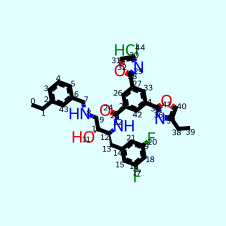 CCc1cccc(CNC[C@@H](O)[C@H](Cc2cc(F)cc(F)c2)NC(=O)c2cc(-c3ncco3)cc(-c3nc(CC)co3)c2)c1.Cl